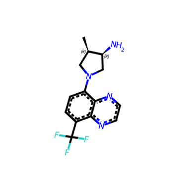 C[C@@H]1CN(c2ccc(C(F)(F)F)c3nccnc23)C[C@@H]1N